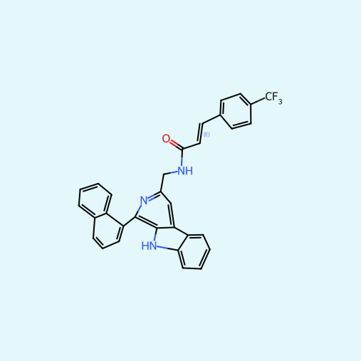 O=C(/C=C/c1ccc(C(F)(F)F)cc1)NCc1cc2c([nH]c3ccccc32)c(-c2cccc3ccccc23)n1